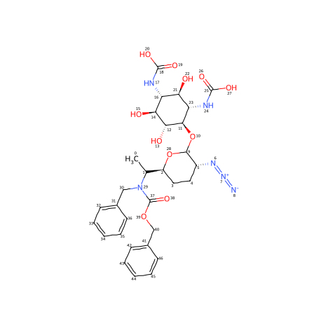 CC([C@@H]1CC[C@@H](N=[N+]=[N-])C(O[C@H]2[C@H](O)[C@@H](O)[C@H](NC(=O)O)[C@@H](O)[C@@H]2NC(=O)O)O1)N(Cc1ccccc1)C(=O)OCc1ccccc1